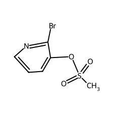 CS(=O)(=O)Oc1cccnc1Br